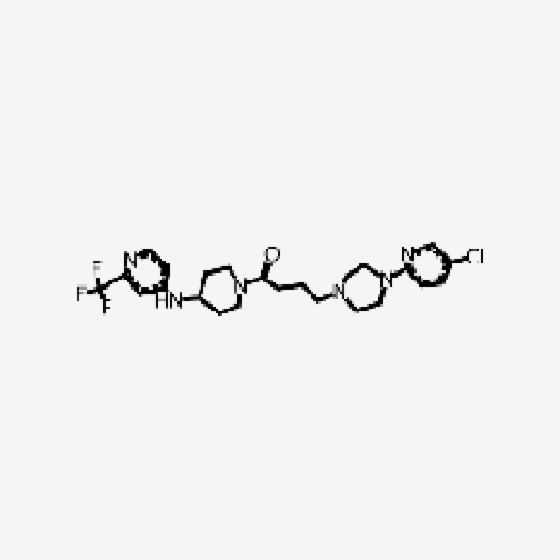 O=C(CCCN1CCN(c2ccc(Cl)cn2)CC1)N1CCC(Nc2ccnc(C(F)(F)F)c2)CC1